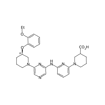 CCOc1ccccc1O[C@@H]1CCCN(c2cncc(Nc3cccc(N4CCCC(C(=O)O)C4)n3)n2)C1